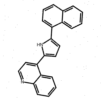 c1ccc2c(-c3ccc(-c4ccnc5ccccc45)[nH]3)cccc2c1